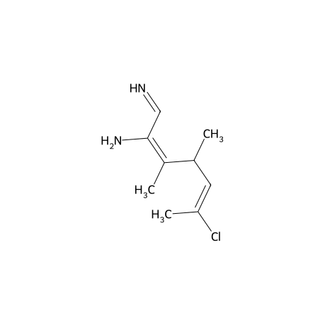 C/C(Cl)=C\C(C)/C(C)=C(/N)C=N